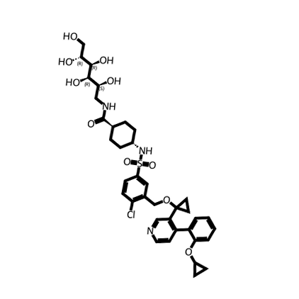 O=C(NC[C@H](O)[C@@H](O)[C@H](O)[C@H](O)CO)[C@H]1CC[C@H](NS(=O)(=O)c2ccc(Cl)c(COC3(c4cnccc4-c4ccccc4OC4CC4)CC3)c2)CC1